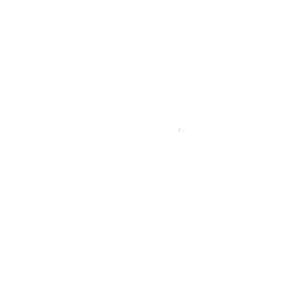 CCNC(=O)Nc1ccccc1CC(C)C